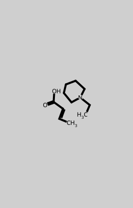 CC=CC(=O)O.CCN1CCCCC1